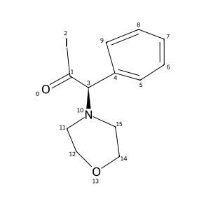 O=C(I)[C@@H](c1ccccc1)N1CCOCC1